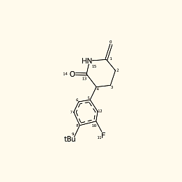 C=C1CCC(c2ccc(C(C)(C)C)c(F)c2)C(=O)N1